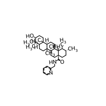 C[C@H]1[C@H](C)CC[C@]2(C(=O)NCc3ccccn3)CC[C@]3(C)C(=CC[C@@H]4[C@@]5(C)CC[C@H](O)C(C)(C)[C@@H]5CC[C@]43C)[C@H]12